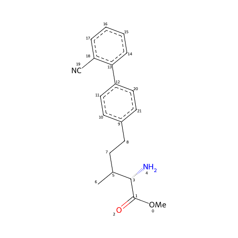 COC(=O)[C@@H](N)C(C)CCc1ccc(-c2ccccc2C#N)cc1